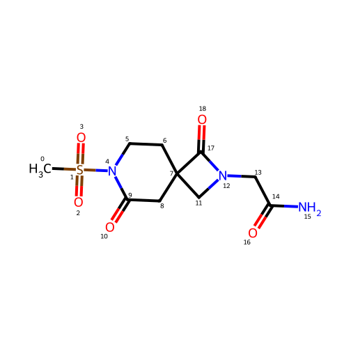 CS(=O)(=O)N1CCC2(CC1=O)CN(CC(N)=O)C2=O